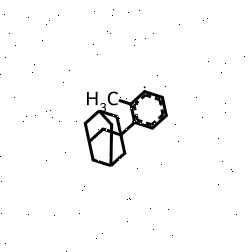 Cc1[c]cccc1C12CC3CC(CC(C3)C1)C2